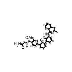 COc1nc(-c2cccc(-c3cccc(Nc4nc(C)nc5cccnc45)c3C)c2Cl)ccc1CNCC(N)=O